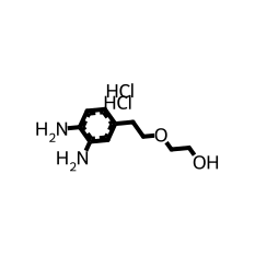 Cl.Cl.Nc1ccc(CCOCCO)cc1N